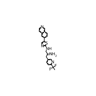 CC(F)(F)c1ccc(C[C@H](N)CNc2ncc(-c3ccc4cnccc4c3)s2)cn1